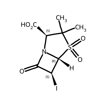 CC1(C)[C@H](C(=O)O)N2C(=O)[C@H](I)[C@H]2S1(=O)=O